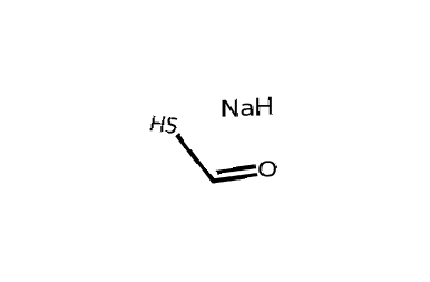 O=CS.[NaH]